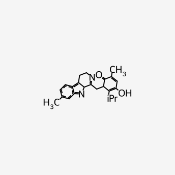 CC1=CC(O)=C(C(C)C)C(CC2=NCCC3=c4ccc(C)cc4=NC23)C1=O